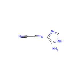 N.N#CC#N.c1c[nH]cn1